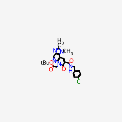 Cc1nc2cnc3c(cc(C(=O)NCc4ccc(Cl)cc4)c(=O)n3CC(=O)OC(C)(C)C)c2n1C